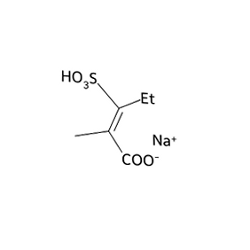 CC/C(=C(/C)C(=O)[O-])S(=O)(=O)O.[Na+]